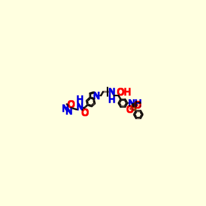 CC(C)(CCn1ccc2cc(C(=O)NCc3nnco3)ccc21)NC[C@H](O)c1cccc(NS(=O)(=O)c2ccccc2)c1